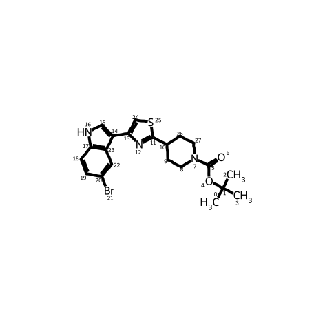 CC(C)(C)OC(=O)N1CCC(c2nc(-c3c[nH]c4ccc(Br)cc34)cs2)CC1